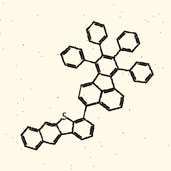 c1ccc(-c2c(-c3ccccc3)c(-c3ccccc3)c3c(c2-c2ccccc2)-c2cccc4c(-c5cccc6c5sc5cc7ccccc7cc56)ccc-3c24)cc1